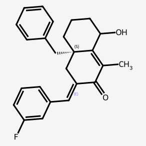 CC1=C2C(O)CCC[C@]2(Cc2ccccc2)C/C(=C\c2cccc(F)c2)C1=O